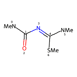 CNC(=O)/N=C(/NC)SC